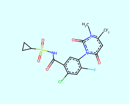 Cn1c(C(F)(F)F)cc(=O)n(-c2cc(C(=O)NS(=O)(=O)C3CC3)c(Cl)cc2F)c1=O